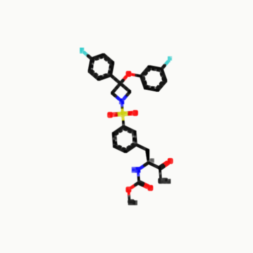 CC(C)COC(=O)[C@H](Cc1cccc(S(=O)(=O)N2CC(Oc3cccc(F)c3)(c3ccc(F)cc3)C2)c1)NC(=O)OC(C)(C)C